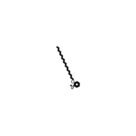 CCCCCCCCCCCCCCCCCCOc1ccccc1N(C)C